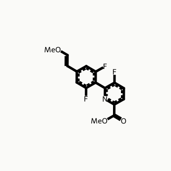 COC=Cc1cc(F)c(-c2nc(C(=O)OC)ccc2F)c(F)c1